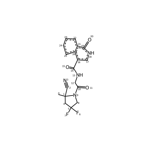 CC1(C#N)CC(F)(F)CN1C(=O)CNC(=O)c1c[nH]c(=O)c2ccccc12